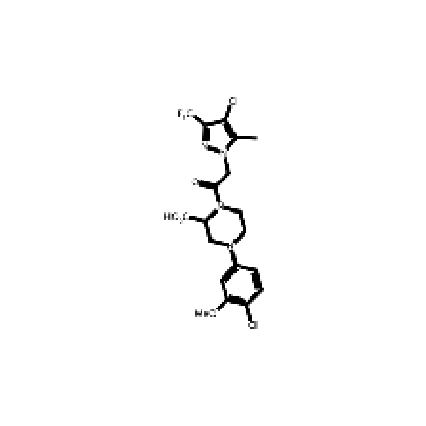 COc1cc(N2CCN(C(=O)Cn3nc(C(F)(F)F)c(Cl)c3C)C(C(=O)O)C2)ccc1Cl